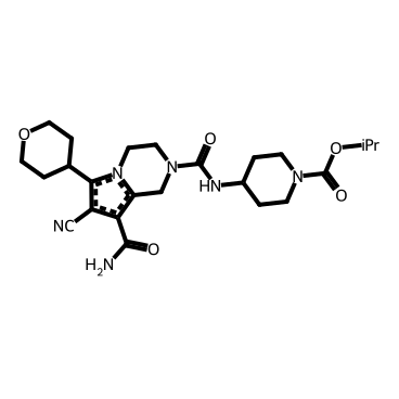 CC(C)OC(=O)N1CCC(NC(=O)N2CCn3c(c(C(N)=O)c(C#N)c3C3CCOCC3)C2)CC1